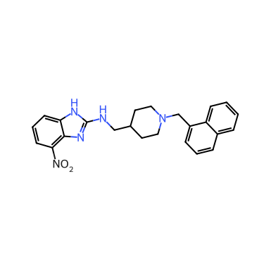 O=[N+]([O-])c1cccc2[nH]c(NCC3CCN(Cc4cccc5ccccc45)CC3)nc12